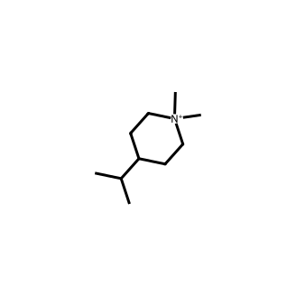 CC(C)C1CC[N+](C)(C)CC1